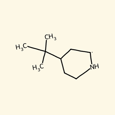 CC(C)(C)C1C[CH]NCC1